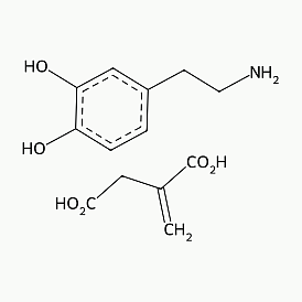 C=C(CC(=O)O)C(=O)O.NCCc1ccc(O)c(O)c1